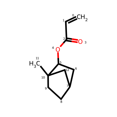 C=CC(=O)OC1CC2CCC1(C)C2